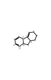 C1=CN2C3=CCCCC3CC2N=C1